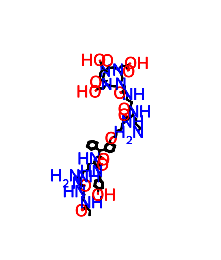 CCC(=O)NCCNC(=O)/N=C(/N)NCCC[C@@H](NC(=O)C(c1ccccc1)c1cccc(OCCCCNC(=O)[C@@H](CCCN)NC(=O)CCNC(=O)CN2CCN(CC(=O)O)CCN(CC(=O)O)CCN(CC(=O)O)CC2)c1)C(=O)NCc1ccc(O)cc1